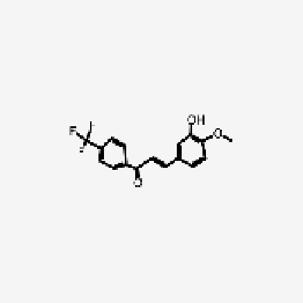 COc1ccc(C=CC(=O)c2ccc(C(F)(F)F)cc2)cc1O